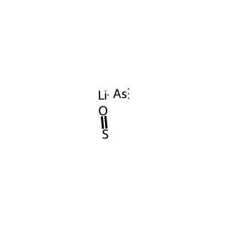 O=S.[As].[Li]